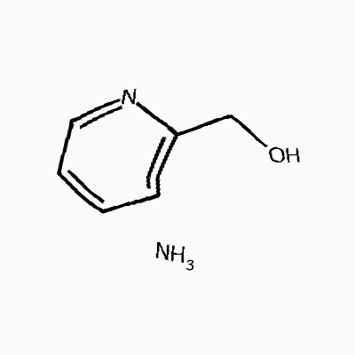 N.OCc1ccccn1